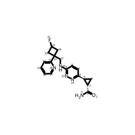 NC(=O)[C@H]1C[C@@H]1c1ccc(NCC2(c3ccccn3)CC(F)C2)nn1